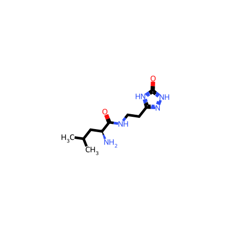 CC(C)C[C@H](N)C(=O)NCCc1n[nH]c(=O)[nH]1